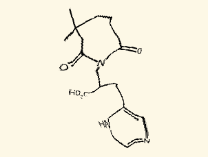 CC1(C)CCC(=O)N(C(Cc2cnc[nH]2)C(=O)O)C1=O